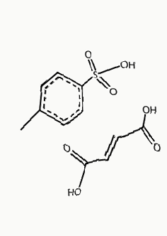 Cc1ccc(S(=O)(=O)O)cc1.O=C(O)C=CC(=O)O